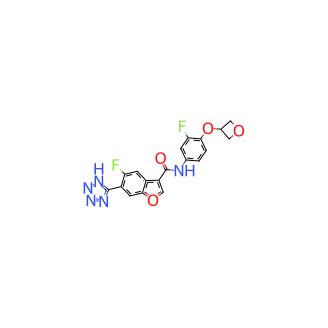 O=C(Nc1ccc(OC2COC2)c(F)c1)c1coc2cc(-c3nnn[nH]3)c(F)cc12